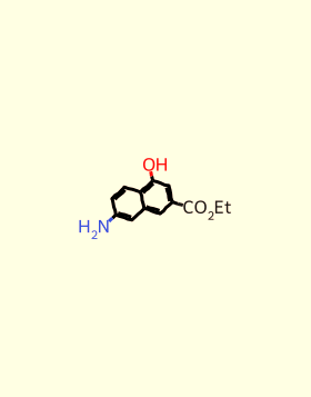 CCOC(=O)c1cc(O)c2ccc(N)cc2c1